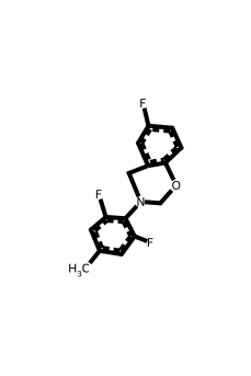 Cc1cc(F)c(N2COc3ccc(F)cc3C2)c(F)c1